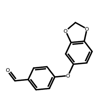 O=Cc1ccc(Oc2ccc3c(c2)OCO3)cc1